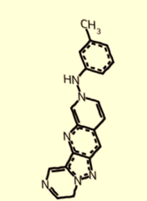 Cc1cccc(NN2C=Cc3cc4nn5c(c4nc3=C2)=CN=CC5)c1